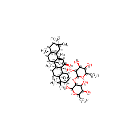 CC1(C)[C@@H](OC2OC(C(=O)O)C(O)C(O)C2OC2OC(C(=O)O)C(O)C(O)C2O)CC[C@@]2(C)[C@@H]1CC[C@]1(C)[C@H]2C(=O)C=C2[C@@H]3C[C@@](C)(C(=O)O)CC[C@]3(C)CC[C@]21C